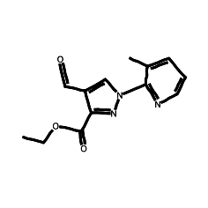 CCOC(=O)c1nn(-c2ncccc2C)cc1C=O